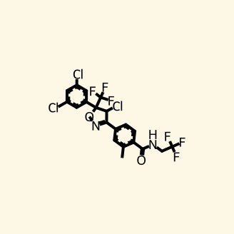 Cc1cc(C2=NOC(c3cc(Cl)cc(Cl)c3)(C(F)(F)F)C2Cl)ccc1C(=O)NCC(F)(F)F